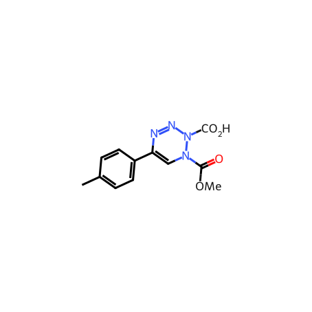 COC(=O)N1C=C(c2ccc(C)cc2)N=NN1C(=O)O